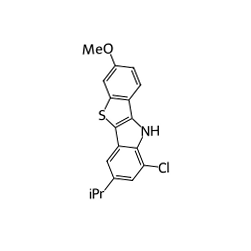 COc1ccc2c(c1)sc1c3cc(C(C)C)cc(Cl)c3[nH]c21